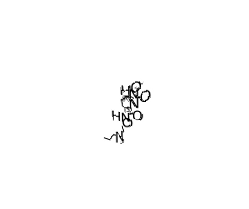 CCCN(C)CCONC(=O)[C@@H]1CC[C@@H]2CN1C(=O)N2OC